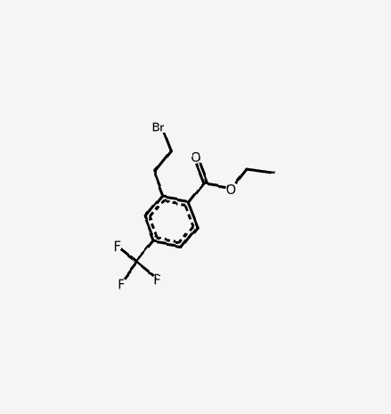 CCOC(=O)c1ccc(C(F)(F)F)cc1CCBr